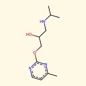 Cc1ccnc(OCC(O)CNC(C)C)n1